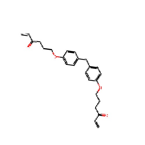 C=CC(=O)CCCOc1ccc(Cc2ccc(OCCCC(=O)C=C)cc2)cc1